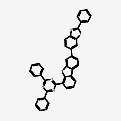 c1ccc(-c2nc(-c3ccccc3)nc(-c3cccc4c3oc3cc(-c5ccc6nc(-c7ccccc7)oc6c5)ccc34)n2)cc1